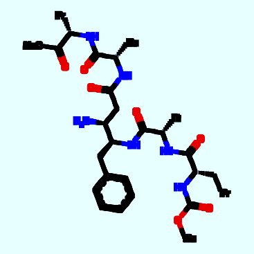 CCC(C)[C@H](NC(=O)C[C@H](N)[C@H](Cc1ccccc1)NC(=O)[C@H](CC)NC(=O)[C@H](CC(C)C)NC(=O)OC(C)(C)C)C(=O)N[C@H](C(=O)OC)C(C)C